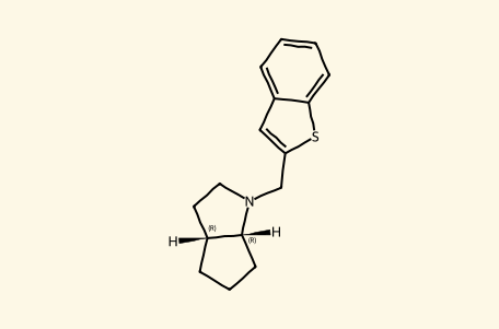 c1ccc2sc(CN3CC[C@H]4CCC[C@H]43)cc2c1